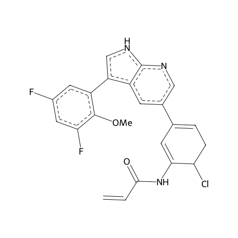 C=CC(=O)NC1=CC(c2cnc3[nH]cc(-c4cc(F)cc(F)c4OC)c3c2)=CCC1Cl